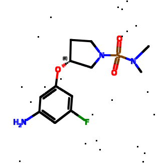 CN(C)S(=O)(=O)N1CC[C@@H](Oc2cc(N)cc(F)c2)C1